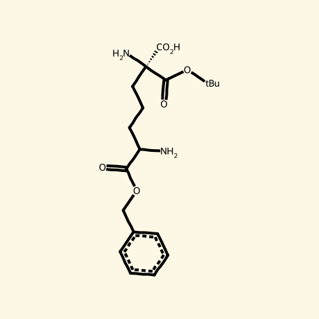 CC(C)(C)OC(=O)[C@](N)(CCCC(N)C(=O)OCc1ccccc1)C(=O)O